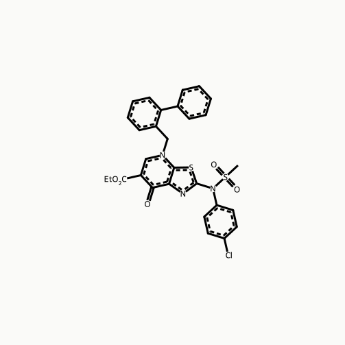 CCOC(=O)c1cn(Cc2ccccc2-c2ccccc2)c2sc(N(c3ccc(Cl)cc3)S(C)(=O)=O)nc2c1=O